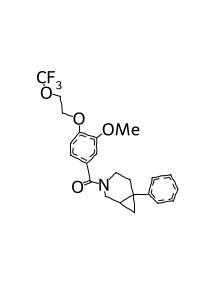 COc1cc(C(=O)N2CCC3(c4ccccc4)CC3C2)ccc1OCCOC(F)(F)F